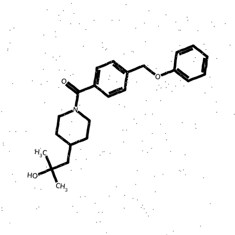 CC(C)(O)CC1CCN(C(=O)c2ccc(COc3ccccc3)cc2)CC1